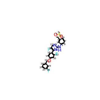 CS(=O)(=O)Cc1cccc(Nc2ncc(F)c(-c3ccc(OCc4cccc(F)c4)cc3F)n2)c1